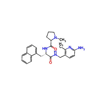 Cc1nc(N)ccc1CNC(=O)[C@H](Cc1cccc2ccccc12)NC(=O)C1CCCN1C